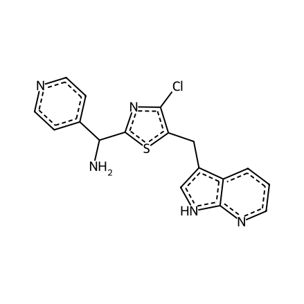 NC(c1ccncc1)c1nc(Cl)c(Cc2c[nH]c3ncccc23)s1